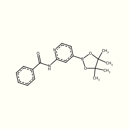 CC1(C)OB(c2ccnc(NC(=O)c3ccccc3)c2)OC1(C)C